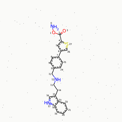 NOC(=O)c1cc(-c2ccc(CNCCc3c[nH]c4ccccc34)cc2)cs1